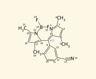 CC1=CC(C)=N/C1=C(/c1cccc(C#N)c1)c1c(C)cc(C)n1B(F)F